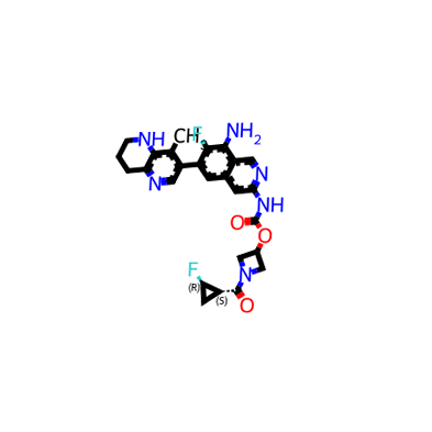 Cc1c(-c2cc3cc(NC(=O)OC4CN(C(=O)[C@@H]5C[C@H]5F)C4)ncc3c(N)c2F)cnc2c1NCCC2